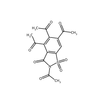 CC(=O)c1cc2c(c(C(C)=O)c1C(C)=O)C(=O)N(C(C)=O)S2(=O)=O